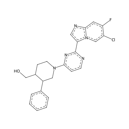 OCC1CCN(c2ccnc(-c3cnc4cc(F)c(Cl)cn34)n2)CC1c1ccccc1